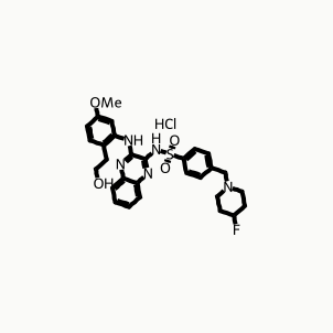 COc1ccc(CCO)c(Nc2nc3ccccc3nc2NS(=O)(=O)c2ccc(CN3CCC(F)CC3)cc2)c1.Cl